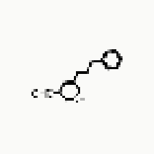 O=CC1C=C(CCCc2ccccc2)CNC1